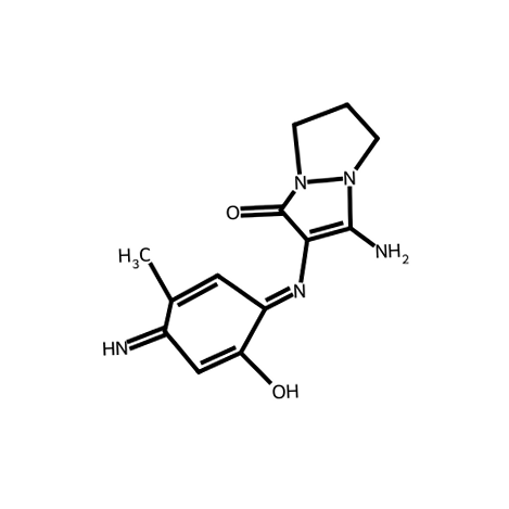 CC1=CC(=Nc2c(N)n3n(c2=O)CCC3)C(O)=CC1=N